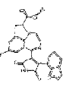 CC(C)(C)OC(=O)C1Cc2cc(F)cc3c2N1C=CN=C3C1=C(c2cccc3ccoc23)C(=O)NC1=O